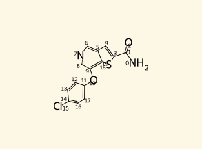 NC(=O)c1cc2cncc(Oc3ccc(Cl)cc3)c2s1